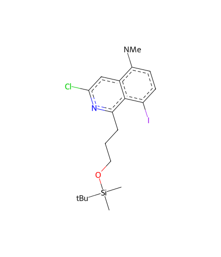 CNc1ccc(I)c2c(CCCO[Si](C)(C)C(C)(C)C)nc(Cl)cc12